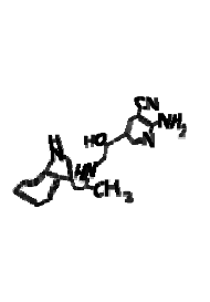 CC(Cc1c[nH]c2ccccc12)NCC(O)c1cnc(N)c(C#N)c1